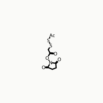 CC(=O)SSCC(=O)ON1C(=O)CCC1=O